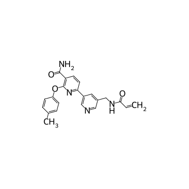 C=CC(=O)NCc1cncc(-c2ccc(C(N)=O)c(Oc3ccc(C)cc3)n2)c1